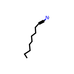 CCCCCCCCC#C[N]